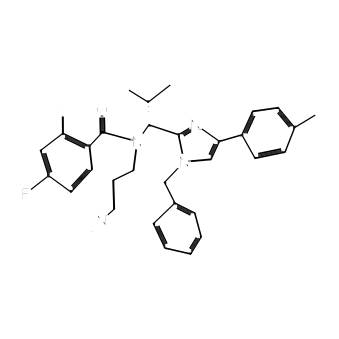 Cc1ccc(-c2cn(Cc3ccccc3)c([C@@H](C(C)C)N(CCCN)C(=O)c3ccc(F)cc3F)n2)cc1